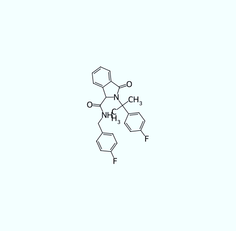 CC(C)(c1ccc(F)cc1)N1C(=O)c2ccccc2C1C(=O)NCc1ccc(F)cc1